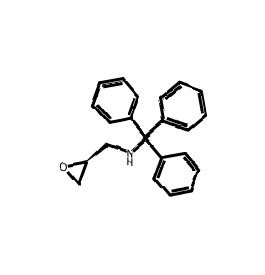 c1ccc(C(NC[C@H]2CO2)(c2ccccc2)c2ccccc2)cc1